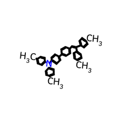 Cc1ccc(C(=Cc2ccc(-c3ccc(N(c4ccc(C)cc4)c4ccc(C)cc4)cc3)cc2)c2ccc(C)cc2)cc1